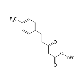 CCCOC(=O)CC(=O)C=Cc1ccc(C(F)(F)F)cc1